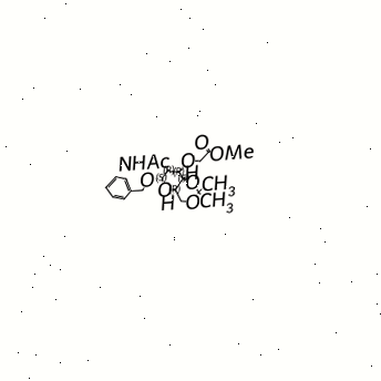 COC(=O)CO[C@@H]1[C@@H](NC(C)=O)[C@@H](OCc2ccccc2)O[C@@H]2COC(C)(C)O[C@@H]12